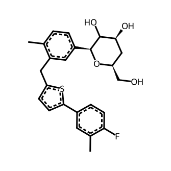 Cc1cc(-c2ccc(Cc3cc([C@@H]4O[C@H](CO)C[C@H](O)C4O)ccc3C)s2)ccc1F